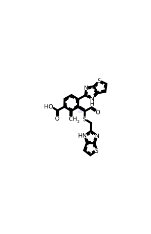 C=c1c(C(=O)O)ccc(-c2nc3sccc3[nH]2)/c1=C(\C=O)SCc1nc2sccc2[nH]1